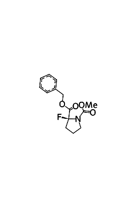 COC(=O)N1CCC[C@]1(F)C(=O)OCc1ccccc1